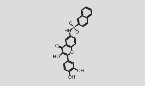 O=c1c(O)c(-c2ccc(O)c(O)c2)oc2ccc(NS(=O)(=O)c3ccc4ccccc4c3)cc12